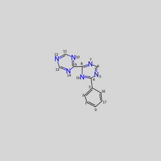 c1ccc(-c2ncnc(-c3ncncn3)n2)cc1